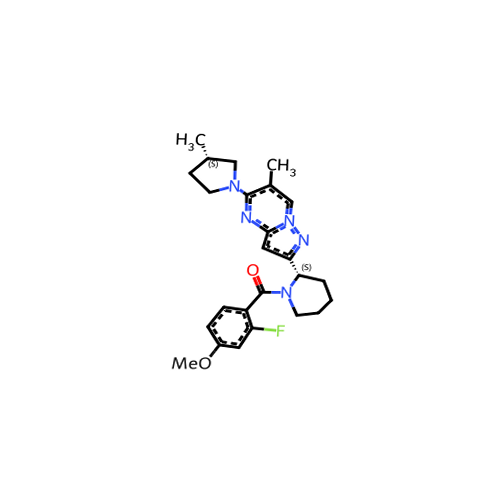 COc1ccc(C(=O)N2CCCC[C@H]2c2cc3nc(N4CC[C@H](C)C4)c(C)cn3n2)c(F)c1